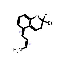 CCC1(CC)CC=c2c(ccc/c2=C/C=C\N)O1